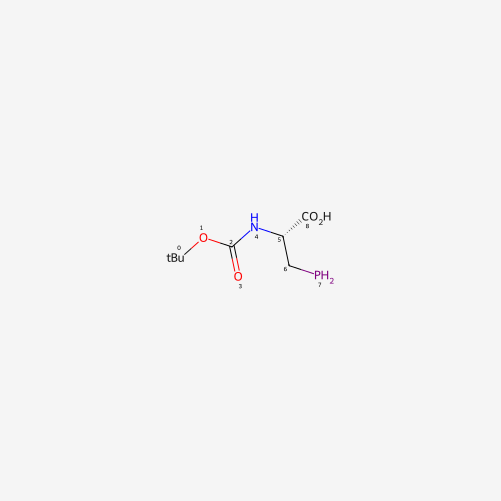 CC(C)(C)OC(=O)N[C@@H](CP)C(=O)O